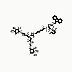 C[C@@H]1O[C@@H](OCCNC(=O)CN(CC(=O)NCCCCCC(=O)NC[C@H](NC(=O)OCC2c3ccccc3-c3ccccc32)C(=O)ON2C(=O)CCC2=O)CC(=O)NCCO[C@@H]2O[C@@H](C)[C@@H](O)[C@@H](O)[C@@H]2O)[C@@H](O)[C@H](O)[C@@H]1O